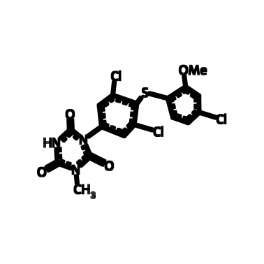 COc1cc(Cl)ccc1Sc1c(Cl)cc(-n2c(=O)[nH]c(=O)n(C)c2=O)cc1Cl